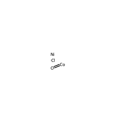 [Cl].[Ni].[O]=[Co]